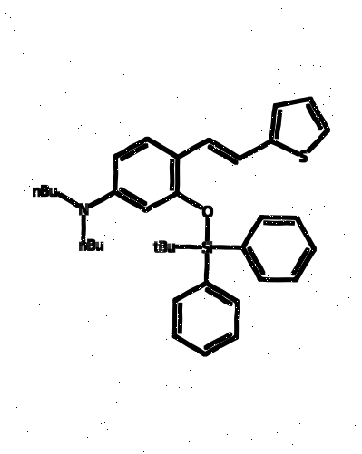 CCCCN(CCCC)c1ccc(/C=C/c2cccs2)c(O[Si](c2ccccc2)(c2ccccc2)C(C)(C)C)c1